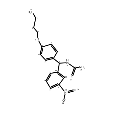 CCCCOc1ccc(C(NC(N)=S)c2cccc([N+](=O)[O-])c2)cc1